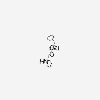 Cl.c1ccc(Cc2ccc(OC[C@@H]3CCCN3)cc2)cc1